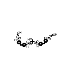 O=C(Nc1ccc(Cc2ccc(NC(=O)OCC(CO)(CO)COC(=O)Nc3ccc(Cc4ccc(NC(=O)OCCO)cc4)cc3)cc2)cc1)OCCO